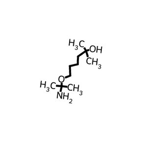 CC(C)(O)CCCCOC(C)(C)N